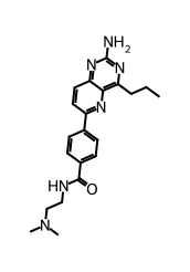 CCCc1nc(N)nc2ccc(-c3ccc(C(=O)NCCN(C)C)cc3)nc12